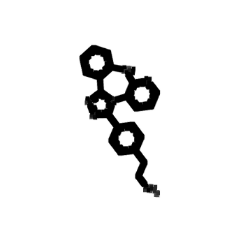 NCCc1ccc(-c2nnc3n2-c2cccnc2Nc2ccccc2-3)cc1